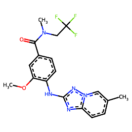 COc1cc(C(=O)N(C)CC(F)(F)F)ccc1Nc1nc2ccc(C)cn2n1